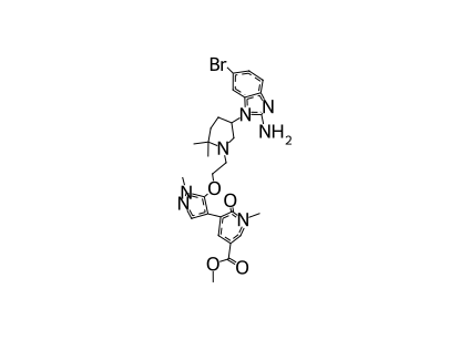 COC(=O)c1cc(-c2cnn(C)c2OCCN2CC(n3c(N)nc4ccc(Br)cc43)CCC2(C)C)c(=O)n(C)c1